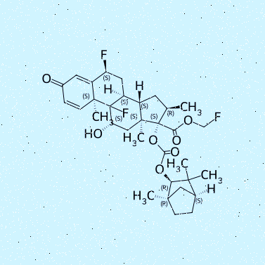 C[C@@H]1C[C@H]2[C@@H]3C[C@H](F)C4=CC(=O)C=C[C@]4(C)C3(F)[C@@H](O)C[C@]2(C)[C@]1(OC(=O)O[C@H]1C(C)(C)[C@H]2CC[C@]1(C)C2)C(=O)OCF